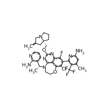 C=C1CN2CCC[C@@]2(COc2nc3c4c(c(Cl)c(-c5nc(N)cc(C)c5C(F)(F)F)c(F)c4n2)OCCN3[C@H](C)c2cccnc2N)C1